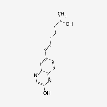 CC(O)CCCC=Cc1ccc2nc(O)cnc2c1